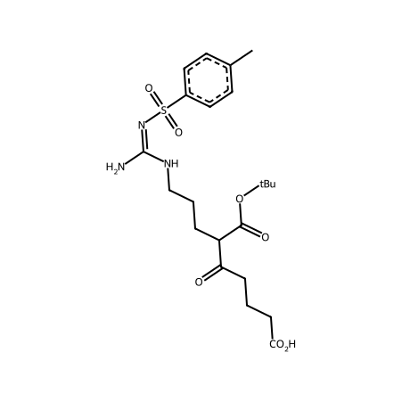 Cc1ccc(S(=O)(=O)N=C(N)NCCCC(C(=O)CCCC(=O)O)C(=O)OC(C)(C)C)cc1